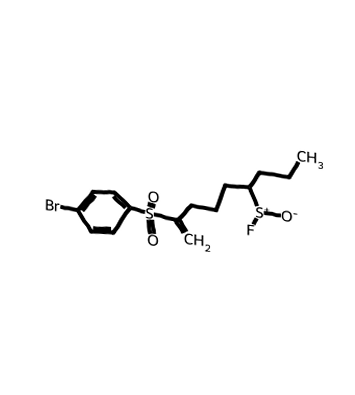 C=C(CCCC(CCC)[S+]([O-])F)S(=O)(=O)c1ccc(Br)cc1